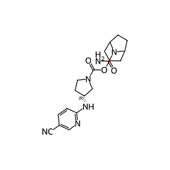 N#Cc1ccc(N[C@@H]2CCN(C(=O)OC3CC4CCC(C3)N4C(N)=O)C2)nc1